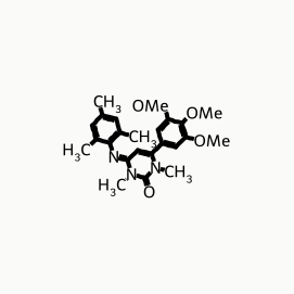 COc1cc(-c2cc(=Nc3c(C)cc(C)cc3C)n(C)c(=O)n2C)cc(OC)c1OC